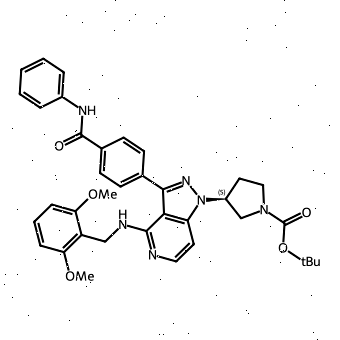 COc1cccc(OC)c1CNc1nccc2c1c(-c1ccc(C(=O)Nc3ccccc3)cc1)nn2[C@H]1CCN(C(=O)OC(C)(C)C)C1